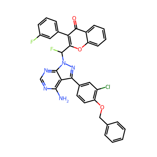 Nc1ncnc2c1c(-c1ccc(OCc3ccccc3)c(Cl)c1)nn2C(F)c1oc2ccccc2c(=O)c1-c1cccc(F)c1